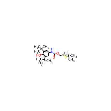 CC(C)(C)SCCOC(=O)Nc1cc(C(C)(C)C)c(O)c(C(C)(C)C)c1